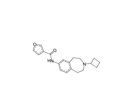 O=C(Nc1ccc2c(c1)CCN(C1CCC1)CC2)c1ccoc1